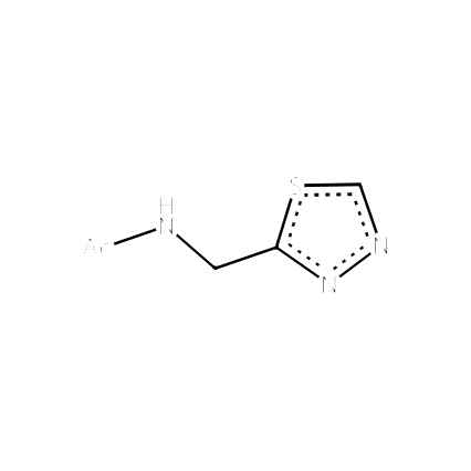 CC(=O)NCc1nn[c]s1